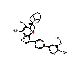 CC(=O)c1c(C2CC3CCC(C2)N3C(=O)CO)nc2c(-c3ccc(-c4ccc(O)c(CO)c4)nc3)cnn2c1N